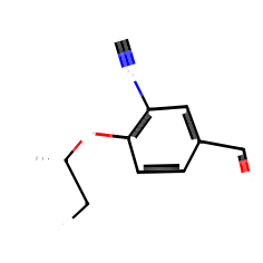 [C-]#[N+]c1cc(C=O)ccc1O[C@@H](C)CC